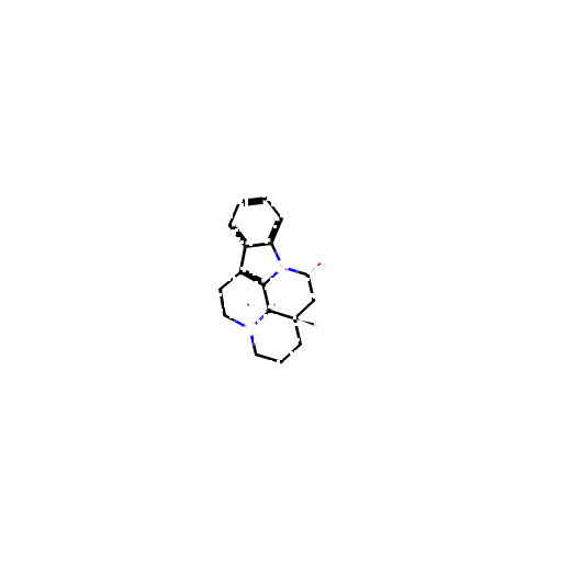 O[C@H]1C[C@@H]2CCCN3CCc4c(n1c1ccccc41)[C@@H]23